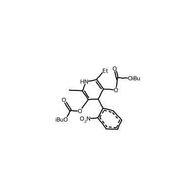 CCC1=C(OC(=O)OCC(C)C)C(c2ccccc2[N+](=O)[O-])C(OC(=O)OCC(C)C)=C(C)N1